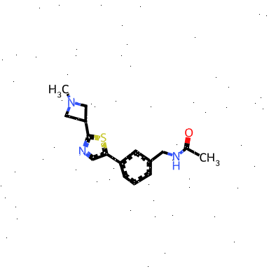 CC(=O)NCc1cccc(-c2cnc(C3CN(C)C3)s2)c1